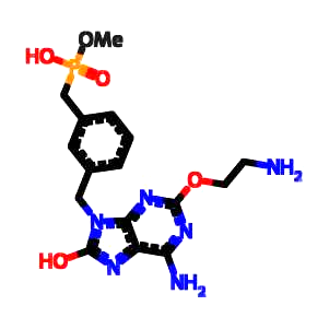 COP(=O)(O)Cc1cccc(Cn2c(O)nc3c(N)nc(OCCN)nc32)c1